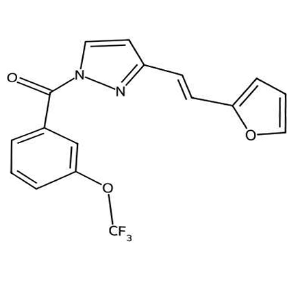 O=C(c1cccc(OC(F)(F)F)c1)n1ccc(C=Cc2ccco2)n1